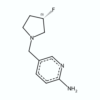 Nc1ccc(CN2CC[C@H](F)C2)cn1